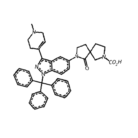 CN1CC=C(c2nn(C(c3ccccc3)(c3ccccc3)c3ccccc3)c3ccc(N4CCC5(CCN(C(=O)O)C5)C4=O)cc23)CC1